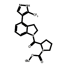 CC(C)(C)OC(=O)N1CCCC1C(=O)N1CCc2c(-c3cn[nH]c3C(F)(F)F)cccc21